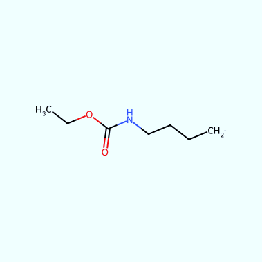 [CH2]CCCNC(=O)OCC